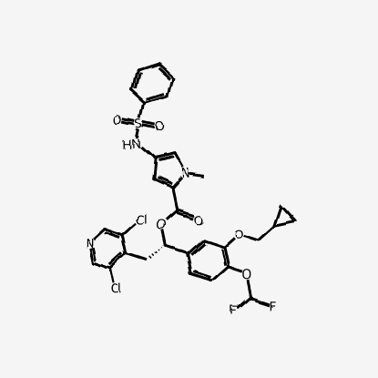 Cn1cc(NS(=O)(=O)c2ccccc2)cc1C(=O)O[C@@H](Cc1c(Cl)cncc1Cl)c1ccc(OC(F)F)c(OCC2CC2)c1